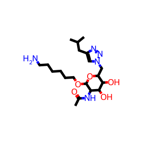 CC(=O)NC1C(OCCCCCCN)OC(Cn2cc(CC(C)C)nn2)C(O)C1O